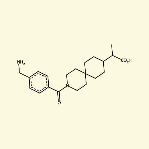 CC(C(=O)O)C1CCC2(CC1)CCN(C(=O)c1ccc(CN)cc1)CC2